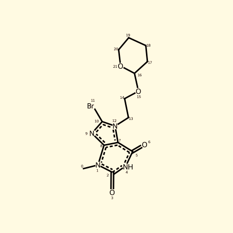 Cn1c(=O)[nH]c(=O)c2c1nc(Br)n2CCOC1CCCCO1